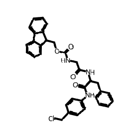 O=C(CNC(=O)OCC1c2ccccc2-c2ccccc21)NC(Cc1ccccc1)C(=O)Nc1ccc(CCl)cc1